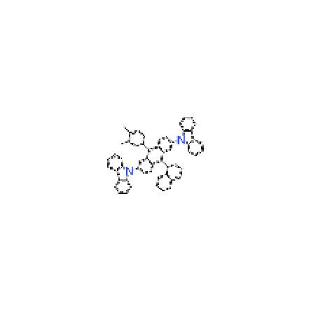 Cc1ccc(-c2c3cc(-n4c5ccccc5c5ccccc54)ccc3c(-c3cccc4ccccc34)c3cc(-n4c5ccccc5c5ccccc54)ccc23)cc1C